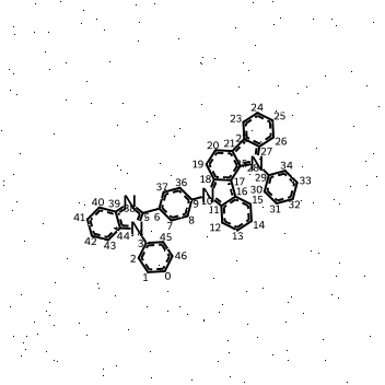 c1ccc(-n2c(-c3ccc(-n4c5ccccc5c5c4ccc4c6ccccc6n(-c6ccccc6)c45)cc3)nc3ccccc32)cc1